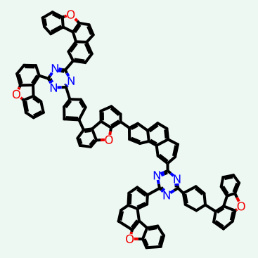 C1=CC(c2cccc3oc4ccccc4c23)CC=C1c1nc(-c2ccc3ccc4cc(-c5cccc6c5oc5cccc(-c7ccc(-c8nc(-c9ccc%10ccc%11oc%12ccccc%12c%11c%10c9)nc(-c9cccc%10oc%11ccccc%11c9%10)n8)cc7)c56)ccc4c3c2)nc(-c2ccc3ccc4oc5ccccc5c4c3c2)n1